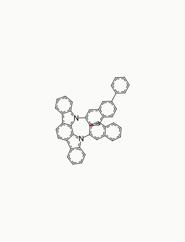 c1ccc(-c2ccc3ccc(-n4c5ccccc5c5ccc6c7ccccc7n(-c7ccc8ccccc8c7)c6c54)cc3c2)cc1